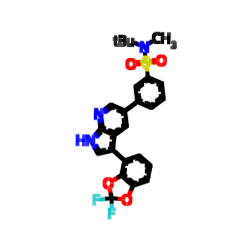 CN(C(C)(C)C)S(=O)(=O)c1cccc(-c2cnc3[nH]cc(-c4cccc5c4OC(F)(F)O5)c3c2)c1